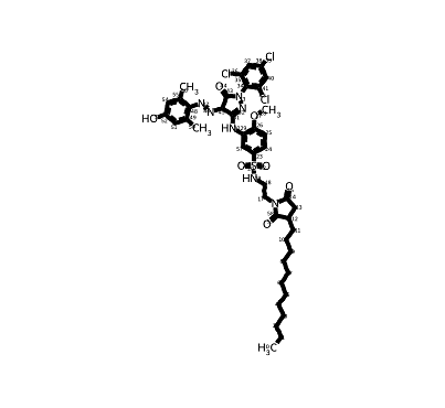 CCCCCCCCCCCCC1CC(=O)N(CCNS(=O)(=O)c2ccc(OC)c(NC3=NN(c4c(Cl)cc(Cl)cc4Cl)C(=O)C3N=Nc3c(C)cc(O)cc3C)c2)C1=O